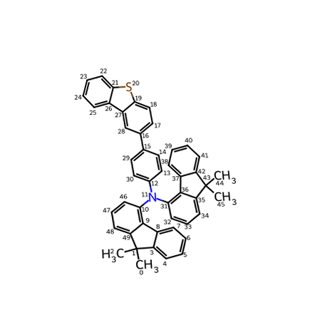 CC1(C)c2ccccc2-c2c(N(c3ccc(-c4ccc5sc6ccccc6c5c4)cc3)c3cccc4c3-c3ccccc3C4(C)C)cccc21